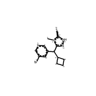 Cn1c(C(c2cncc(Br)c2)C2CCC2)n[nH]c1=S